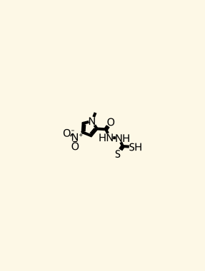 Cn1cc([N+](=O)[O-])cc1C(=O)NNC(=S)S